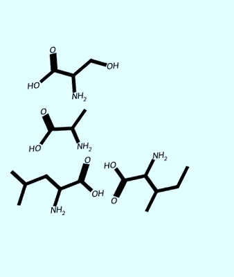 CC(C)CC(N)C(=O)O.CC(N)C(=O)O.CCC(C)C(N)C(=O)O.NC(CO)C(=O)O